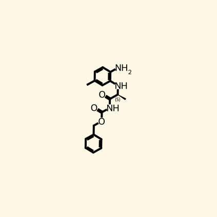 Cc1ccc(N)c(N[C@@H](C)C(=O)NC(=O)OCc2ccccc2)c1